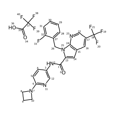 O=C(Nc1ccc(N2CCC2)nc1)c1cc2cc(C(F)(F)F)cnc2n1Cc1ccccc1F.O=C(O)C(F)(F)F